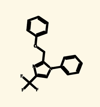 FC(F)(F)c1cn(-c2ccccc2)c(COc2ccccc2)n1